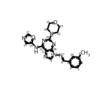 Cc1cccc(C=Nn2cnc3c(Nc4cnco4)nc(N4CCOCC4)nc32)c1